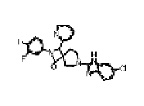 O=C1N(c2ccc(F)c(F)c2)C(c2ccccn2)C12CCN(c1nc3ccc(Cl)cc3[nH]1)CC2